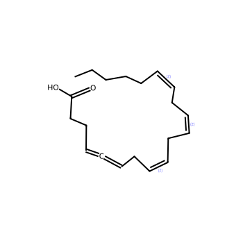 CCCCC/C=C\C/C=C\C/C=C\CC=C=CCCC(=O)O